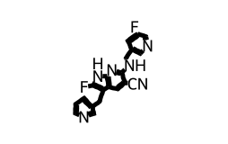 N#Cc1cc2c(Cc3cccnc3)c(F)[nH]c2nc1NCc1cncc(F)c1